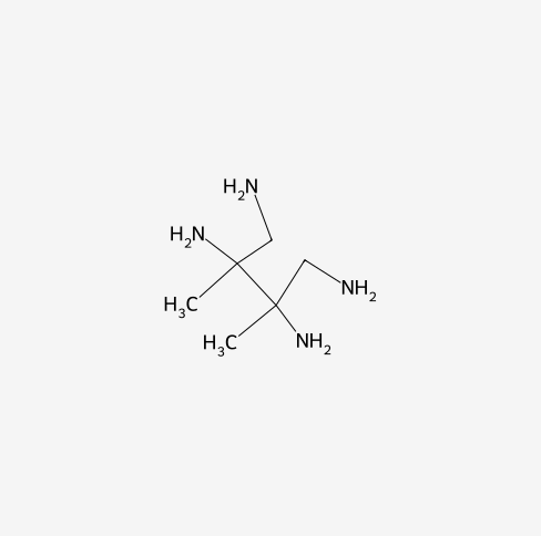 CC(N)(CN)C(C)(N)CN